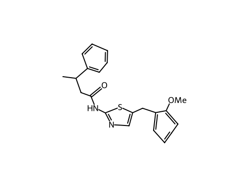 COc1ccccc1Cc1cnc(NC(=O)CC(C)c2ccccc2)s1